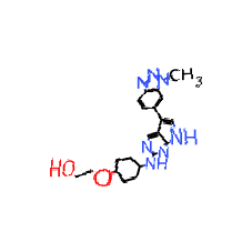 Cn1nnc2ccc(-c3c[nH]c4nc(NC5CCC(OCCO)CC5)ncc34)cc21